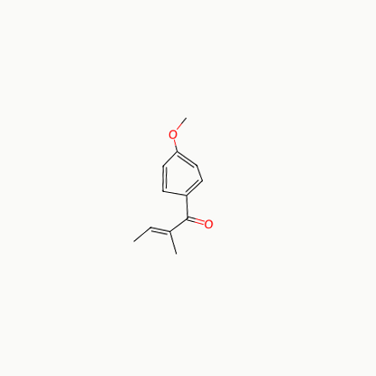 CC=C(C)C(=O)c1ccc(OC)cc1